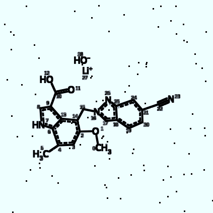 COc1cc(C)c2[nH]cc(C(=O)O)c2c1Cn1cc2ccc(C#N)cc2n1.[Li+].[OH-]